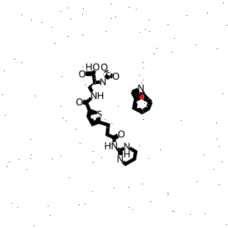 O=C(CCc1ccc(C(=O)NC[C@H](N=S(=O)=O)C(=O)O)s1)NC1=NCCCN1.c1cc2c3nc-2ccc3c1